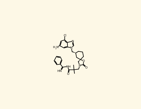 CC(C)(CN1C[C@@]2(CCC[C@H](Cn3cnc4c(Cl)cc(N)cc43)C2)OC1=O)C(=O)NC(=N)c1ccccc1